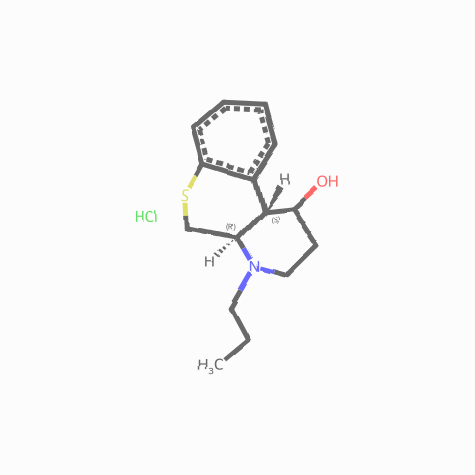 CCCN1CCC(O)[C@H]2c3ccccc3SC[C@@H]21.Cl